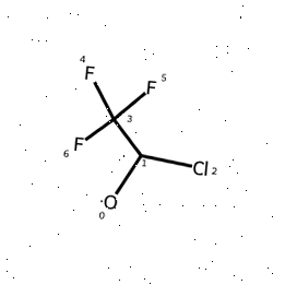 [O]C(Cl)C(F)(F)F